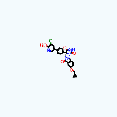 O=C1NC(=O)[C@](CN2Cc3ccc(OCC4CC4)cc3C2=O)(c2ccc(-c3cnc(O)c(Cl)c3)cc2)N1